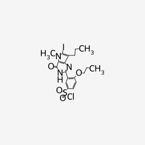 CCCOc1ccc(S(=O)(=O)Cl)cc1-c1nc2c(CCC)c(I)n(C)c2c(=O)[nH]1